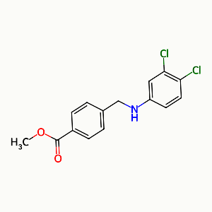 COC(=O)c1ccc(CNc2ccc(Cl)c(Cl)c2)cc1